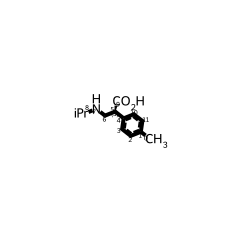 Cc1ccc([C@@H](CNC(C)C)C(=O)O)cc1